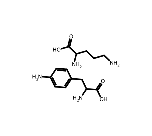 NCCCC(N)C(=O)O.Nc1ccc(CC(N)C(=O)O)cc1